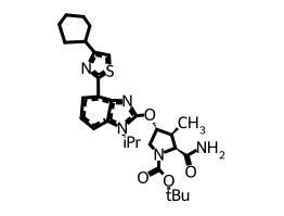 CC(C)n1c(O[C@H]2CN(C(=O)OC(C)(C)C)[C@H](C(N)=O)[C@@H]2C)nc2c(-c3nc(C4CCCCC4)cs3)cccc21